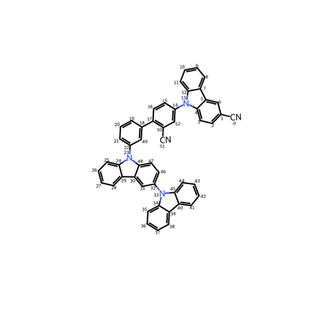 N#Cc1ccc2c(c1)c1ccccc1n2-c1ccc(-c2cccc(-n3c4ccccc4c4cc(-n5c6ccccc6c6ccccc65)ccc43)c2)c(C#N)c1